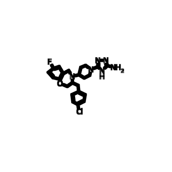 Nc1nnc(N2CCC(N3Cc4cc(F)ccc4OCC3Cc3ccc(Cl)cc3)CC2)[nH]1